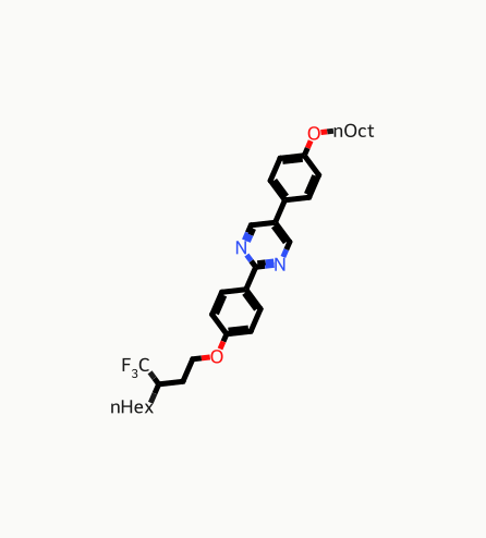 CCCCCCCCOc1ccc(-c2cnc(-c3ccc(OCCC(CCCCCC)C(F)(F)F)cc3)nc2)cc1